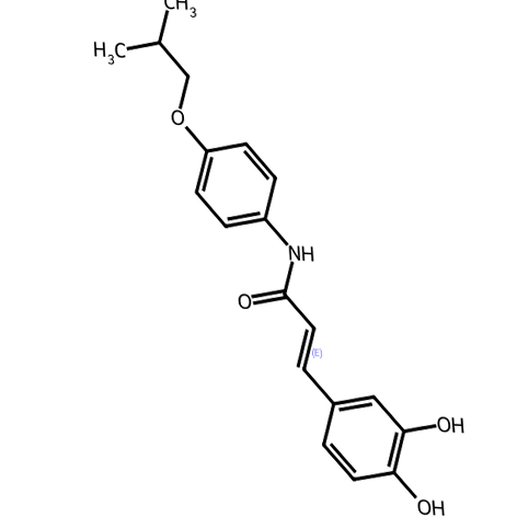 CC(C)COc1ccc(NC(=O)/C=C/c2ccc(O)c(O)c2)cc1